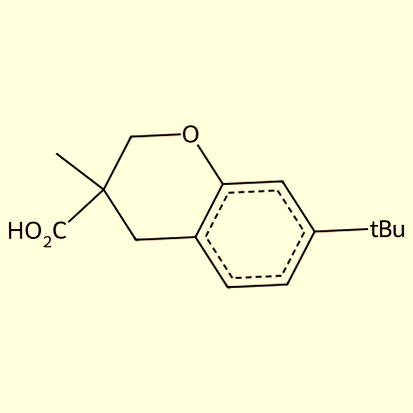 CC1(C(=O)O)COc2cc(C(C)(C)C)ccc2C1